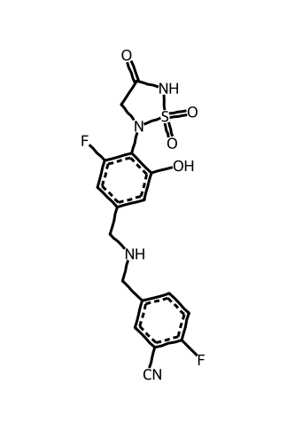 N#Cc1cc(CNCc2cc(O)c(N3CC(=O)NS3(=O)=O)c(F)c2)ccc1F